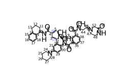 C=N/C(=C\C(=C/C)C(=O)N[C@H]1CCCc2ccccc21)c1cc(N2CCCCC2)ccc1NC(=O)c1cccc(C(=O)N(C)CCN2CCNC(=O)C2)c1